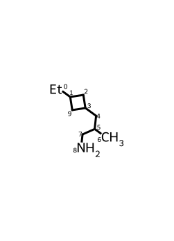 CCC1CC(CC(C)CN)C1